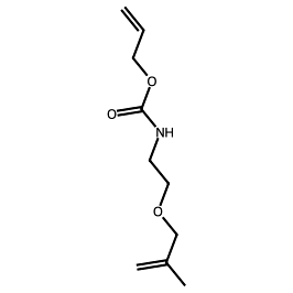 C=CCOC(=O)NCCOCC(=C)C